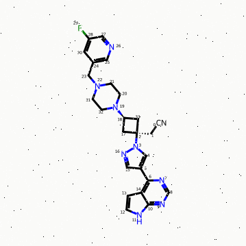 N#CC[C@]1(n2cc(-c3ncnc4[nH]ccc34)cn2)C[C@@H](N2CCN(Cc3cncc(F)c3)CC2)C1